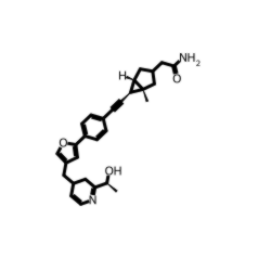 C[C@H](O)C1=NC=CC(Cc2coc(-c3ccc(C#C[C@H]4[C@@H]5CC(CC(N)=O)C[C@]45C)cc3)c2)C1